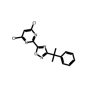 CC(C)(c1ccccc1)c1noc(-c2nc(Cl)cc(Cl)n2)n1